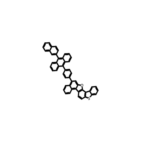 c1ccc2cc(-c3c4ccccc4c(-c4ccc(-c5cc6oc7c(ccc8sc9ccccc9c87)c6c6ccccc56)cc4)c4ccccc34)ccc2c1